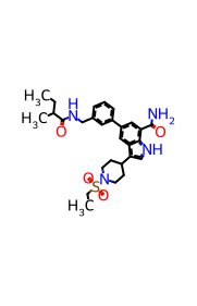 CCC(C)C(=O)NCc1cccc(-c2cc(C(N)=O)c3[nH]cc(C4CCN(S(=O)(=O)CC)CC4)c3c2)c1